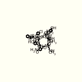 CNCCCCC1NC(=O)[C@@H](Cc2ccc(C(N)=O)cc2)NC(=O)[C@H](CC2=CC=C(O)CC2)NC(=O)[C@H](NC(=O)[C@H](Cc2ccc(Cl)cc2)NC(=O)CS(=O)(=O)c2ccccc2)CSSC[C@@H](C(=O)N[C@H](Cc2ccc(O)cc2)C(N)=O)NC(=O)[C@H]([C@@H](C)O)NC1=O